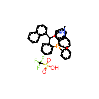 Cn1cc(C(c2ccccc2P(c2ccccc2)c2ccccc2)c2cccc3ccccc23)c2ccccc21.O=S(=O)(O)C(F)(F)F